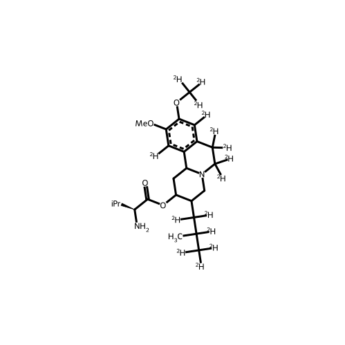 [2H]c1c(OC)c(OC([2H])([2H])[2H])c([2H])c2c1C1CC(OC(=O)[C@@H](N)C(C)C)C(C([2H])([2H])C([2H])(C)C([2H])([2H])[2H])CN1C([2H])([2H])C2([2H])[2H]